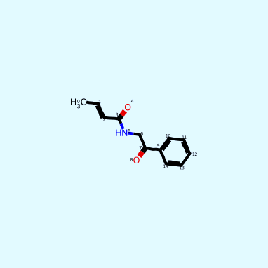 C/C=C/C(=O)NCC(=O)c1ccccc1